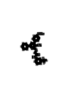 COc1ccc(-c2cc(-c3ccccc3)nc(SCC(=O)Nc3cccc(C(C)(F)F)c3)c2C#N)cc1